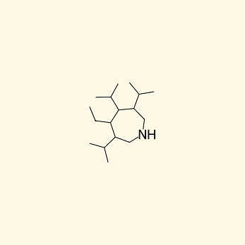 CCC1C(C(C)C)CNCC(C(C)C)C1C(C)C